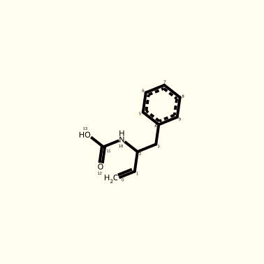 C=CC(Cc1ccccc1)NC(=O)O